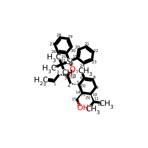 C=CC[C@@H](C[C@@H]1C(C)=CC[C@@H](C(C)C)[C@H]1CO)O[Si](c1ccccc1)(c1ccccc1)C(C)(C)C